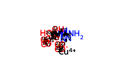 Nc1ncnc2c1ncn2[C@@H]1O[C@H](COP(=O)([O-])[O-])[C@@H](O)[C@H]1O.O=S(=O)([O-])[O-].[Cu+4]